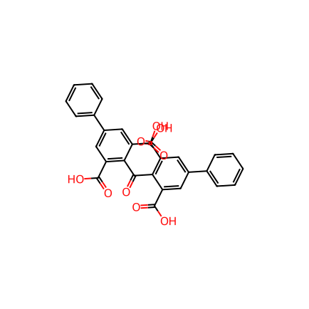 O=C(O)c1cc(-c2ccccc2)cc(C(=O)O)c1C(=O)c1c(C(=O)O)cc(-c2ccccc2)cc1C(=O)O